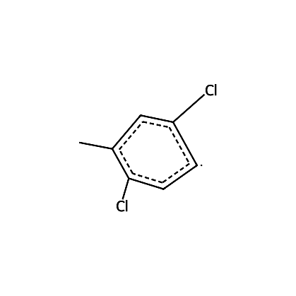 Cc1cc(Cl)[c]cc1Cl